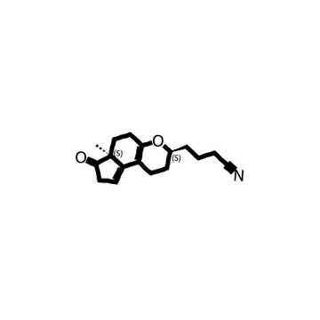 C[C@]12CCC3=C(CC[C@H](CCCC#N)O3)C1=CCC2=O